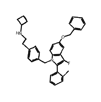 Cc1ccccc1-c1c(F)c2cc(OCc3ccccc3)ccc2n1Cc1ccc(CCNC2CCC2)cc1